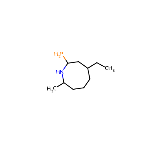 CCC1CCCC(C)NC(P)C1